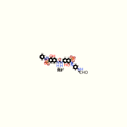 O=CCNc1ccc(N=Nc2c(S(=O)(=O)[O-])cc3ccc(NC(=O)Nc4ccc5c(O)c(N=Nc6ccccc6)c(S(=O)(=O)[O-])cc5c4)cc3c2O)cc1.[Na+].[Na+]